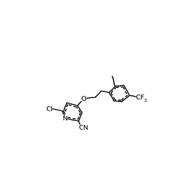 Cc1cc(C(F)(F)F)ccc1CCOc1cc(Cl)nc(C#N)c1